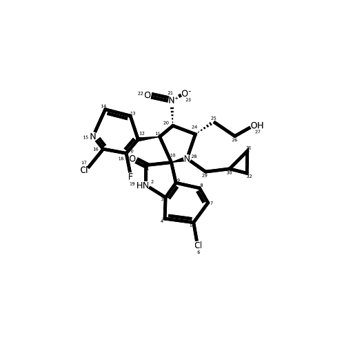 O=C1Nc2cc(Cl)ccc2[C@@]12[C@@H](c1ccnc(Cl)c1F)[C@H]([N+](=O)[O-])[C@H](CCO)N2CC1CC1